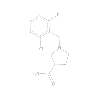 NC(=O)C1CCN(Cc2c(F)cccc2Cl)C1